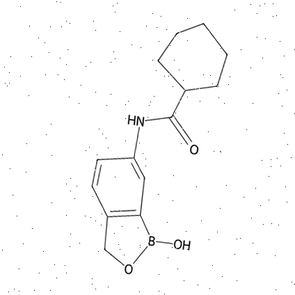 O=C(Nc1ccc2c(c1)B(O)OC2)C1CCCCC1